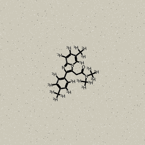 [2H]c1c([2H])c(C([2H])([2H])[2H])c([2H])c([2H])c1-c1nc2c([2H])c([2H])c(C([2H])([2H])[2H])c([2H])n2c1CC(=O)N(C([2H])([2H])[2H])C([2H])([2H])[2H]